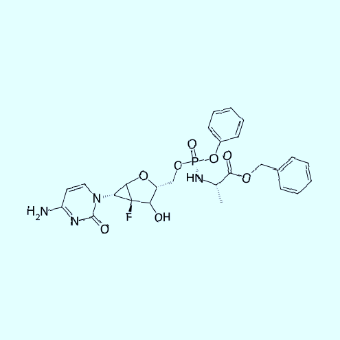 C[C@H](N[P@@](=O)(OC[C@H]1OC2[C@@H](n3ccc(N)nc3=O)[C@@]2(F)C1O)Oc1ccccc1)C(=O)OCc1ccccc1